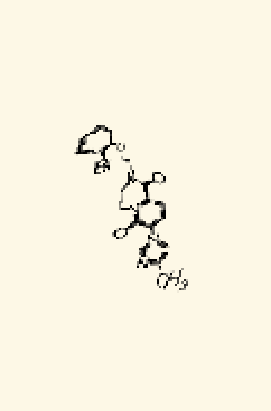 Cc1cn(-c2ccc3n(c2=O)CCN(CCOc2ccccc2Br)C3=O)cn1